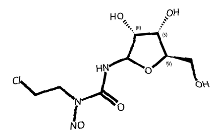 O=NN(CCCl)C(=O)NC1O[C@H](CO)[C@@H](O)[C@H]1O